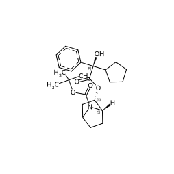 CC(C)(C)OC(=O)N1C2CC[C@H]1[C@@H](OC(=O)[C@](O)(c1ccccc1)C1CCCC1)C2